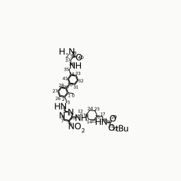 Cc1c(CNc2ncc([N+](=O)[O-])c(NC[C@H]3CC[C@H](CNC(=O)OC(C)(C)C)CC3)n2)cccc1-c1cccc(CNCC(N)=O)c1